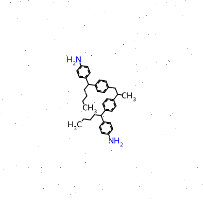 CCCCC(c1ccc(N)cc1)c1ccc(CC(C)c2ccc(C(CCCC)c3ccc(N)cc3)cc2)cc1